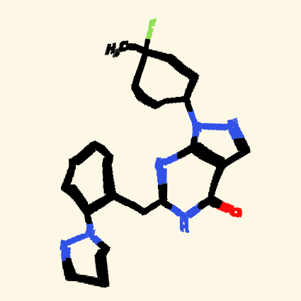 CC1(F)CCC(n2ncc3c(=O)[nH]c(Cc4ccccc4-n4cccn4)nc32)CC1